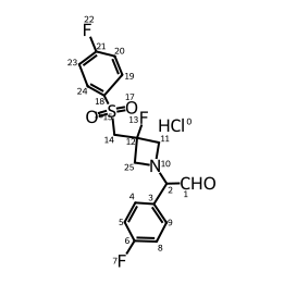 Cl.O=CC(c1ccc(F)cc1)N1CC(F)(CS(=O)(=O)c2ccc(F)cc2)C1